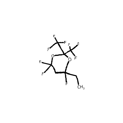 CCC1(F)CC(F)(F)OC(C(F)(F)F)(C(F)(F)F)O1